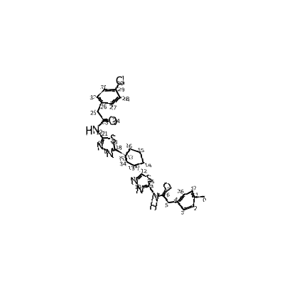 Cc1ccc(CC(=O)Nc2nnc([C@H]3CCC[C@H](c4nnc(NC(=O)Cc5ccc(Cl)cc5)s4)C3)s2)cc1